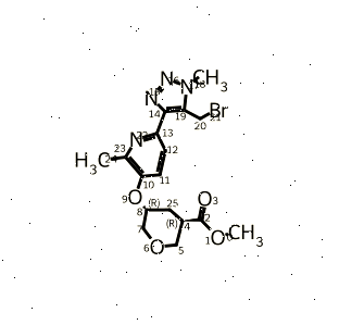 COC(=O)[C@H]1COC[C@H](Oc2ccc(-c3nnn(C)c3CBr)nc2C)C1